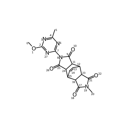 COc1nc(C)nc(N2C(=O)C3C4C=CC(C5C(=O)N(C)C(=O)C45)C3C2=O)n1